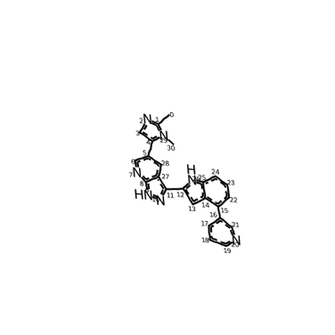 Cc1ncc(-c2cnc3[nH]nc(-c4cc5c(-c6cccnc6)cccc5[nH]4)c3c2)n1C